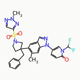 Cc1cc2c(cnn2-c2ccc(=O)n(C(F)F)c2)cc1C1(Cc2ccccc2)CCN(S(=O)(=O)c2cnn(C)n2)C1